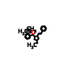 C=CC1CC(/C=C/c2ccccc2)C(C2OC[Si](C)(C)c3ccccc32)C1